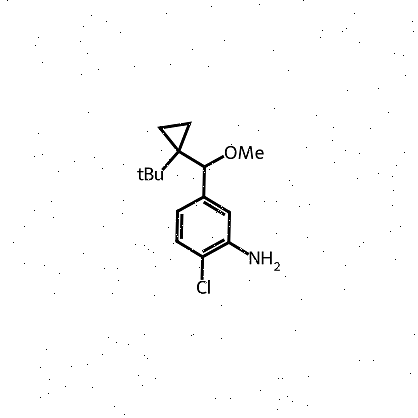 COC(c1ccc(Cl)c(N)c1)C1(C(C)(C)C)CC1